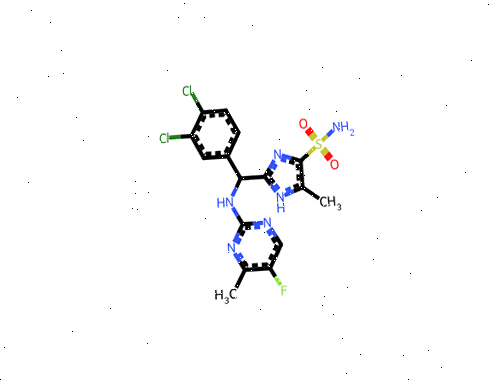 Cc1nc(NC(c2ccc(Cl)c(Cl)c2)c2nc(S(N)(=O)=O)c(C)[nH]2)ncc1F